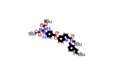 CC(C)(C)CN(Cc1ccc2sc(C(C)(C)C)cc2c1)C(=O)c1ccc2cc(OC(=O)c3ccc(N/C(=N\C(=O)OC(C)(C)C)NC(=O)OC(C)(C)C)cc3)ccc2n1